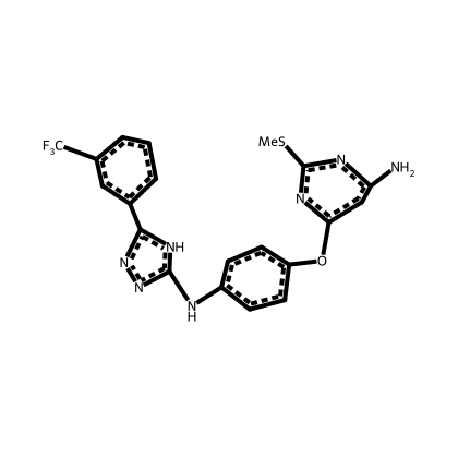 CSc1nc(N)cc(Oc2ccc(Nc3nnc(-c4cccc(C(F)(F)F)c4)[nH]3)cc2)n1